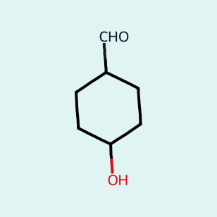 O=CC1CCC(O)CC1